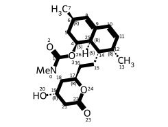 CNC(=O)O[C@H]1C[C@@H](C)C=C2C=C[C@H](C)[C@H](CC[C@@H]3C[C@@H](O)CC(=O)O3)[C@H]21